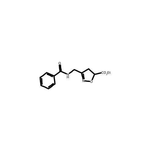 CCOC(=O)C1CC(CNC(=O)c2ccccc2)=NO1